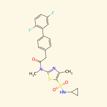 Cc1nc(N(C)C(=O)Cc2ccc(-c3cc(F)ccc3F)cc2)sc1S(=O)(=O)NC1CC1